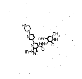 CCCc1cc(C)[nH]c(=O)c1CNC(=O)c1cc(-c2ccc(N3CCNCC3)nc2)nc2c1cnn2C(C)C